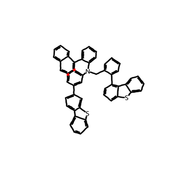 c1cc(-c2ccc3c(c2)sc2ccccc23)cc(N(Cc2ccccc2-c2cccc3sc4ccccc4c23)c2ccccc2-c2cccc3ccccc23)c1